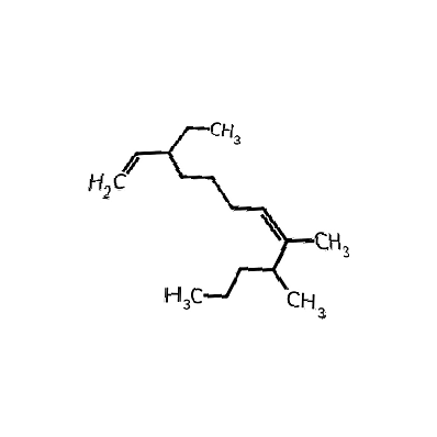 C=CC(CC)CCCC=C(C)C(C)CCC